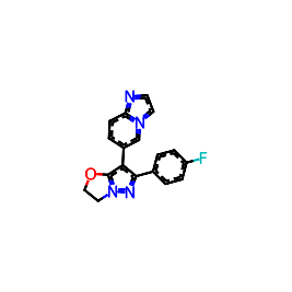 Fc1ccc(-c2nn3c(c2-c2ccc4nccn4c2)OCC3)cc1